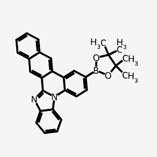 CC1(C)OB(c2ccc3c(c2)c2cc4ccccc4cc2c2nc4ccccc4n32)OC1(C)C